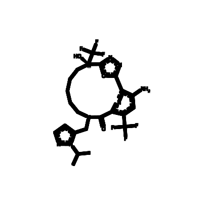 CC(C)n1nccc1CN1CCCCC[C@](O)(C(F)(F)F)c2nnc(o2)-c2nc(c(C(F)(F)F)cc2N)C1=O